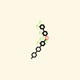 CC1CCC(C2CCC(c3ccc(C(F)(F)Oc4ccc(-c5ccc(F)c(F)c5)c(F)c4)c(F)c3F)CC2)CC1